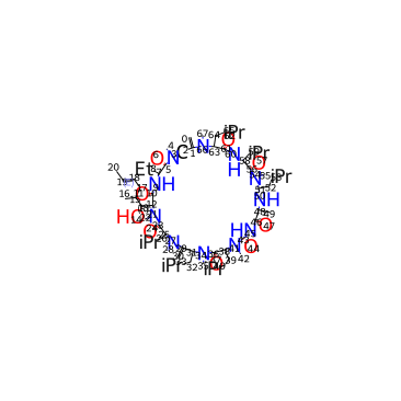 C=C1CN(C)C(=O)C(CC)NC(=O)C([C@H](O)C(C)C/C=C/C)N(C)C(=O)C(C(C)C)N(C)C(=C)C(CC(C)C)N(C)C(=O)C(CC(C)C)N(C)C(=O)NC(=O)C(C)NC(CC(C)C)N(C)C(=O)C(C(C)C)NC(=O)C(CC(C)C)N1C